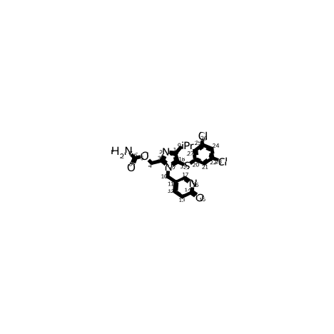 CC(C)c1nc(COC(N)=O)n(CC2=CCC(=O)N=C2)c1Sc1cc(Cl)cc(Cl)c1